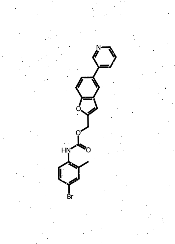 Cc1cc(Br)ccc1NC(=O)OCc1cc2cc(-c3cccnc3)ccc2o1